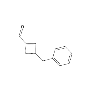 O=CC1=CC(Cc2ccccc2)C1